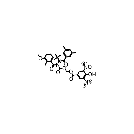 COc1cccc(C(=O)N(C(=O)OCOC(=O)c2cc([N+](=O)[O-])c(O)c([N+](=O)[O-])c2)N(C(=O)c2cc(C)cc(C)c2)C(C)(C)C)c1C